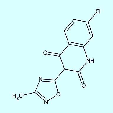 Cc1noc(C2C(=O)Nc3cc(Cl)ccc3C2=O)n1